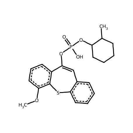 COc1cccc2c1Sc1ccccc1C=C2OP(=O)(O)OC1CCCCC1C